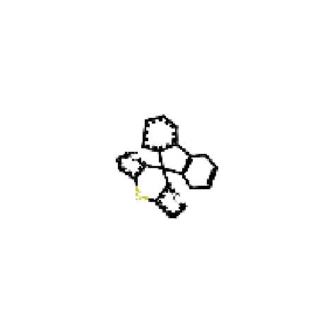 C1=CCC2=C(C1)c1ccccc1C21c2ccccc2Sc2ccccc21